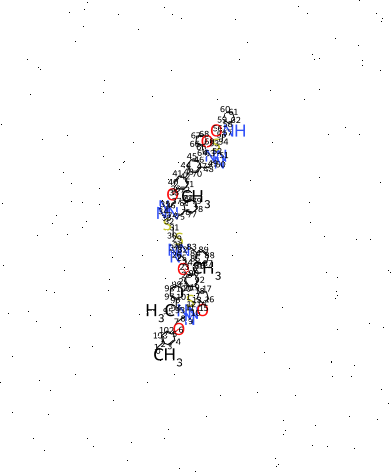 CCc1ccc(OCc2nnc(SC3C(=O)CCC3c3ccc(OCc4nnc(SCCSc5nnc(COc6ccc(-c7cccc(Cc8nnc(SCC(=O)NC9CCCC9)n8Cc8ccco8)c7)cc6C)n5Cc5ccccc5)n4Cc4ccccc4)c(C)c3)n2C(C)c2ccccc2)cc1